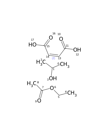 CC(C)O.CCOC(C)=O.O=C(O)/C=C\C(=O)O